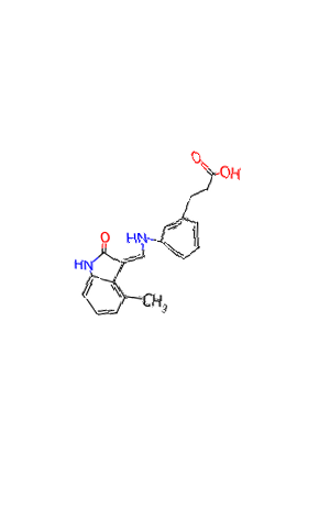 Cc1cccc2c1C(=CNc1cccc(CCC(=O)O)c1)C(=O)N2